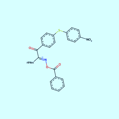 CCCCCC/C(=N\OC(=O)c1ccccc1)C(=O)c1ccc(Sc2ccc([N+](=O)[O-])cc2)cc1